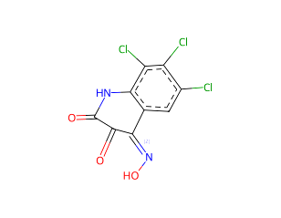 O=C1Nc2c(cc(Cl)c(Cl)c2Cl)/C(=N/O)C1=O